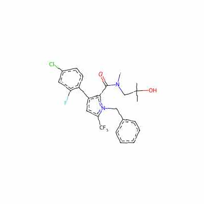 CN(CC(C)(C)O)C(=O)c1c(-c2ccc(Cl)cc2F)cc(C(F)(F)F)n1Cc1ccccc1